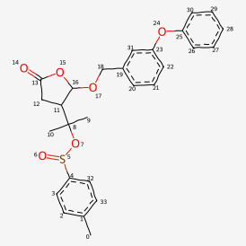 Cc1ccc(S(=O)OC(C)(C)C2CC(=O)OC2OCc2cccc(Oc3ccccc3)c2)cc1